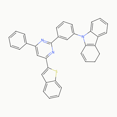 C1=Cc2c(c3ccccc3n2-c2cccc(-c3nc(-c4ccccc4)cc(-c4cc5ccccc5s4)n3)c2)CC1